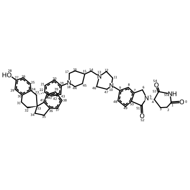 O=C1CC[C@H](N2Cc3cc(N4CCN(CC5CCN(c6ccc([C@H]7c8ccc(O)cc8CC[C@@]78CCc7ccccc78)cc6)CC5)CC4)ccc3C2=O)C(=O)N1